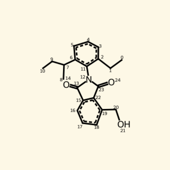 CCc1cccc(C(C)CC)c1N1C(=O)c2cccc(CO)c2C1=O